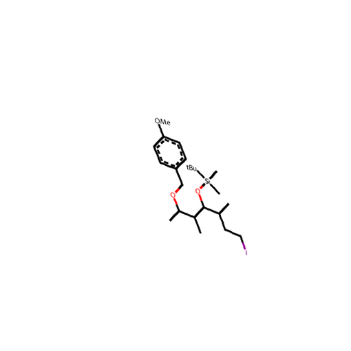 COc1ccc(COC(C)C(C)C(O[Si](C)(C)C(C)(C)C)C(C)CCI)cc1